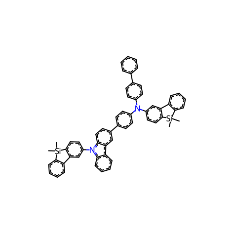 C[Si]1(C)c2ccccc2-c2cc(N(c3ccc(-c4ccccc4)cc3)c3ccc(-c4ccc5c(c4)c4ccccc4n5-c4ccc5c(c4)-c4ccccc4[Si]5(C)C)cc3)ccc21